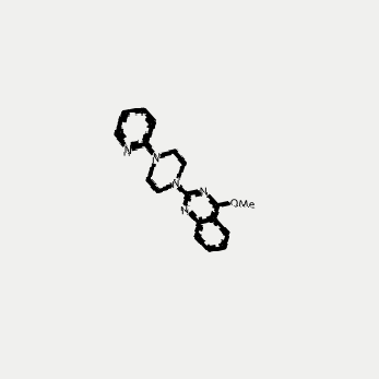 COc1nc(N2CCN(c3ccccn3)CC2)nc2ccccc12